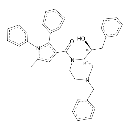 Cc1cc(C(=O)N2CCN(Cc3ccccc3)C[C@H]2[C@@H](O)Cc2ccccc2)c(-c2ccccc2)n1-c1ccccc1